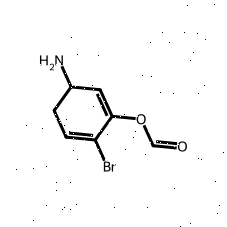 NC1C=C(OC=O)C(Br)=CC1